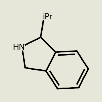 CC(C)C1NCc2ccccc21